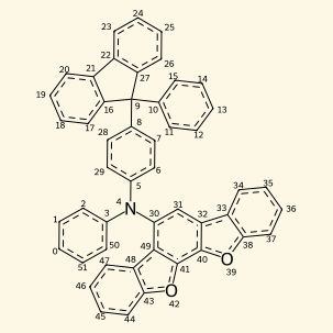 c1ccc(N(c2ccc(C3(c4ccccc4)c4ccccc4-c4ccccc43)cc2)c2cc3c4ccccc4oc3c3oc4ccccc4c23)cc1